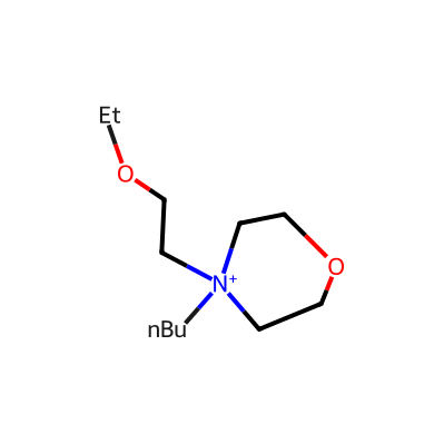 CCCC[N+]1(CCOCC)CCOCC1